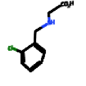 O=C(O)CNCc1ccccc1Cl